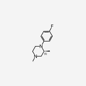 C[C@H]1CN(C)CCN1c1ccc(F)cc1